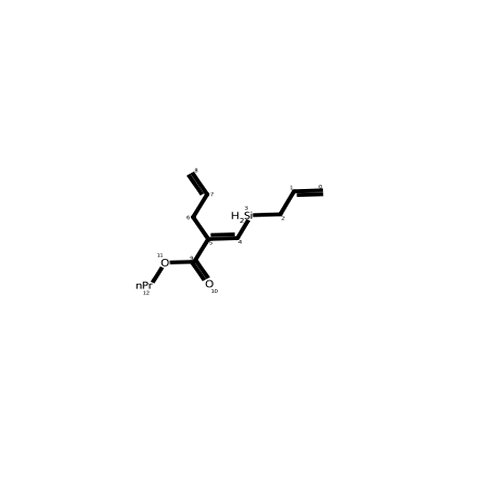 C=CC[SiH2]C=C(CC=C)C(=O)OCCC